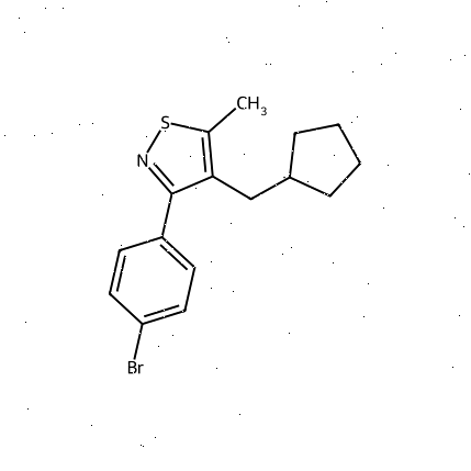 Cc1snc(-c2ccc(Br)cc2)c1C[C]1CCCC1